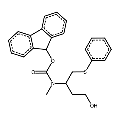 CN(C(=O)OC1c2ccccc2-c2ccccc21)C(CCO)CSc1ccccc1